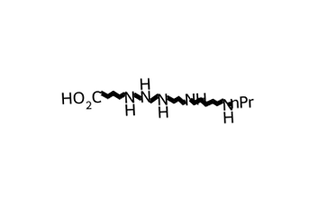 CCCNCCCCCCNCCCCNCCNCCNCCCCCC(=O)O